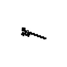 CCCCCCCCCCCCOC(=C1CCC1)C(CC(C)(C)C)C(C)(C)C